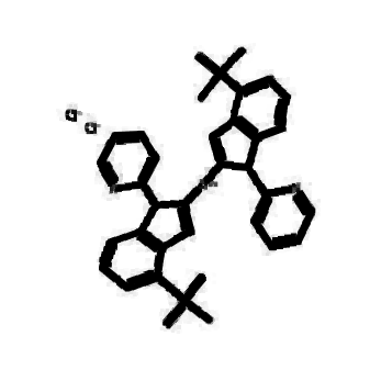 CC(C)(C)c1cccc2c1C=[C]([Zr+2][C]1=Cc3c(cccc3C(C)(C)C)C1c1ccccn1)C2c1ccccn1.[Cl-].[Cl-]